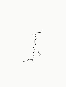 CCCC(C)CCCCC(C=O)CCC(C)CCC